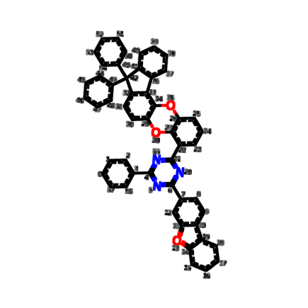 c1ccc(-c2nc(-c3ccc4c(c3)oc3ccccc34)nc(-c3cccc4c3Oc3ccc5c(c3O4)-c3ccccc3C5(c3ccccc3)c3ccccc3)n2)cc1